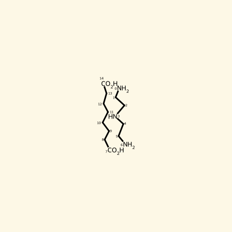 NCCNCCN.O=C(O)CCCCCCC(=O)O